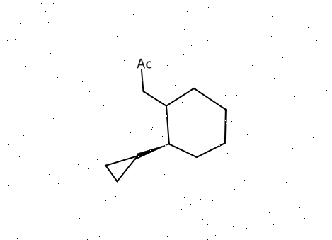 CC(=O)CC1CCCC[C@H]1C1CC1